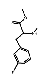 CNC(Cc1cccc(F)c1)C(=O)OC